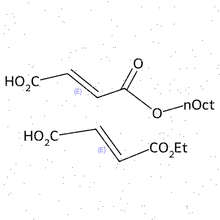 CCCCCCCCOC(=O)/C=C/C(=O)O.CCOC(=O)/C=C/C(=O)O